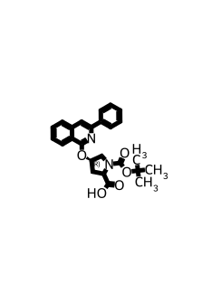 CC(C)(C)OC(=O)N1C[C@H](Oc2nc(-c3ccccc3)cc3ccccc23)CC1C(=O)O